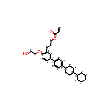 C=CC(=O)OCCCc1cc(-c2ccc(C3CCC(C4CCCCC4)CC3)cc2)ccc1OCCO